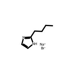 CCCCc1ncc[nH]1.[Br-].[Na+]